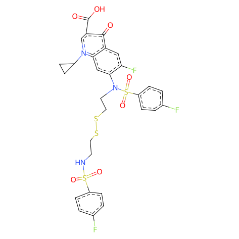 O=C(O)c1cn(C2CC2)c2cc(N(CCSSCCNS(=O)(=O)c3ccc(F)cc3)S(=O)(=O)c3ccc(F)cc3)c(F)cc2c1=O